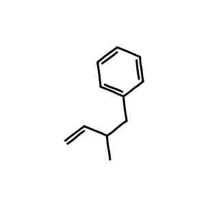 C=CC(C)Cc1ccccc1